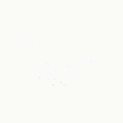 Cc1c(C2CC(N)C2)nc2c3c(nc(-c4cc(N)cc(F)c4OC(F)(F)F)c(F)c13)O[C@@H](C)[C@@H]1[C@@H]3CC[C@H](CN21)N3